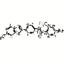 Cc1ccc2nc(-c3ccc(NC(=O)c4ccc(N)cc4C)cc3)sc2c1